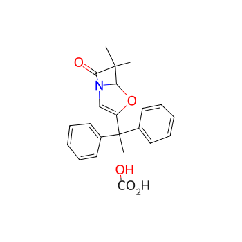 CC(C1=CN2C(=O)C(C)(C)C2O1)(c1ccccc1)c1ccccc1.O=C(O)O